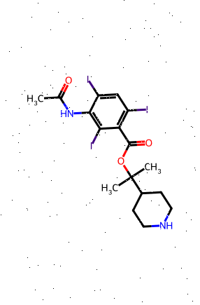 CC(=O)Nc1c(I)cc(I)c(C(=O)OC(C)(C)C2CCNCC2)c1I